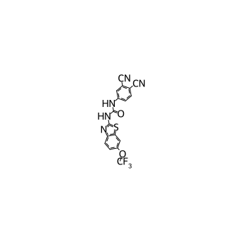 N#Cc1ccc(NC(=O)Nc2nc3ccc(OC(F)(F)F)cc3s2)cc1C#N